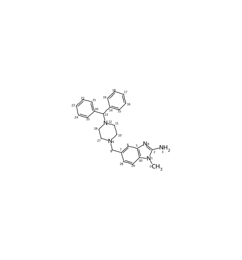 Cn1c(N)nc2cc(CN3CCN(C(c4ccccc4)c4ccccc4)CC3)ccc21